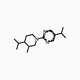 CC(C)c1cnc(N2CCC(C(C)C)C(C)C2)nc1